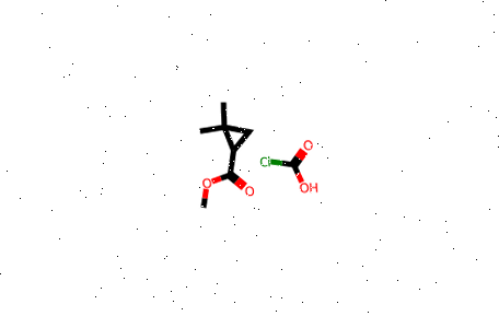 COC(=O)C1CC1(C)C.O=C(O)Cl